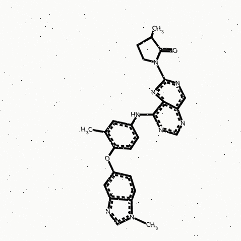 Cc1cc(Nc2ncnc3cnc(N4CCC(C)C4=O)nc23)ccc1Oc1ccc2c(c1)ncn2C